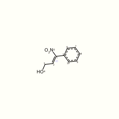 O=[N+]([O-])/C(=C\CO)c1ccccc1